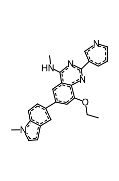 CCOc1cc(-c2ccc3c(ccn3C)c2)cc2c(NC)nc(-c3cccnc3)nc12